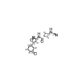 N#CN[C@H]1C[C@H](C(=O)Nc2cc(-c3cccc(Cl)c3)on2)C1